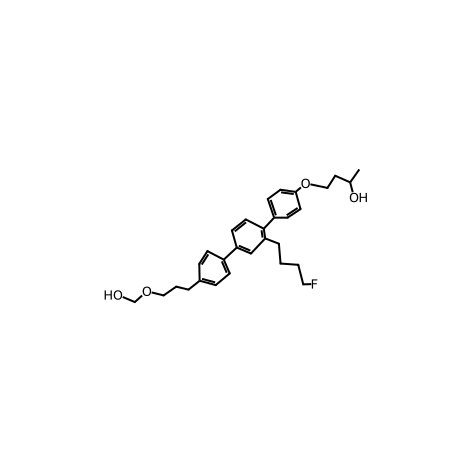 CC(O)CCOc1ccc(-c2ccc(-c3ccc(CCCOCO)cc3)cc2CCCCF)cc1